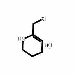 Cl.ClCC1=CCCCN1